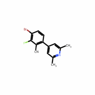 Cc1cc(-c2ccc(Br)c(F)c2C#N)cc(C)n1